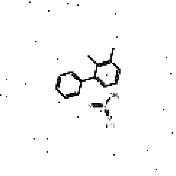 Cc1cccc(-c2ccccc2)c1C.Cl.N[SH](=O)=O